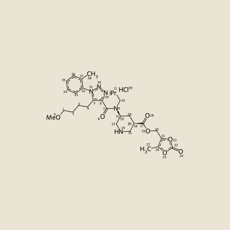 COCCCCc1c(C(=O)N(CC(C)C)[C@@H]2CNC[C@H](C(=O)OCc3oc(=O)oc3C)C2)nnn1-c1ccccc1C.Cl